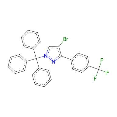 FC(F)(F)c1ccc(-c2nn(C(c3ccccc3)(c3ccccc3)c3ccccc3)cc2Br)cc1